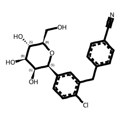 N#Cc1ccc(Cc2cc([C@@H]3O[C@H](CO)[C@@H](O)[C@H](O)[C@@H]3O)ccc2Cl)cc1